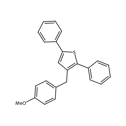 COc1ccc(Cc2cc(-c3ccccc3)sc2-c2ccccc2)cc1